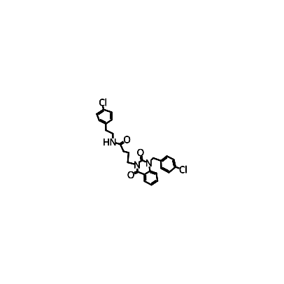 O=C(CCCn1c(=O)c2ccccc2n(Cc2ccc(Cl)cc2)c1=O)NCCc1ccc(Cl)cc1